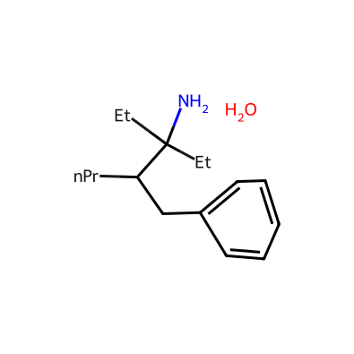 CCCC(Cc1ccccc1)C(N)(CC)CC.O